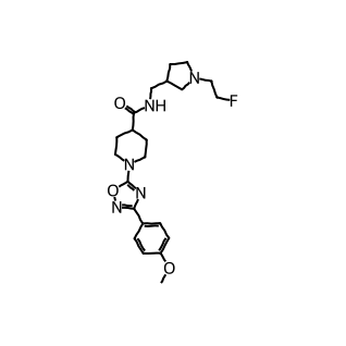 COc1ccc(-c2noc(N3CCC(C(=O)NCC4CCN(CCF)C4)CC3)n2)cc1